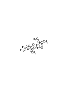 CCOP(=O)(CC)C(OC)C(=O)OB1OC(=O)C(P(=O)(CC)OCC)O1